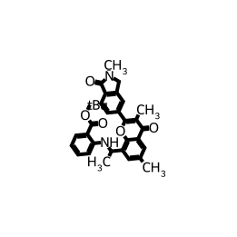 Cc1cc(C(C)Nc2ccccc2C(=O)OC(C)(C)C)c2oc(-c3ccc4c(c3)CN(C)C4=O)c(C)c(=O)c2c1